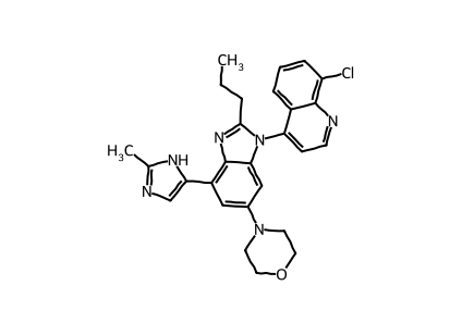 CCCc1nc2c(-c3cnc(C)[nH]3)cc(N3CCOCC3)cc2n1-c1ccnc2c(Cl)cccc12